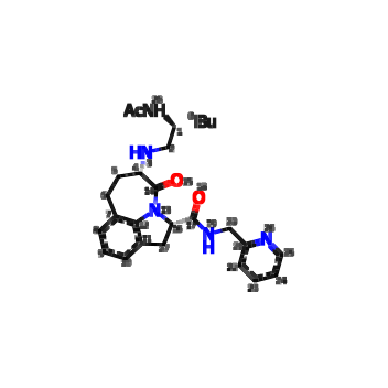 CC[C@H](C)[C@@H](CN[C@H]1CCc2cccc3c2N(C1=O)[C@H](C(=O)NCc1ccccn1)C3)NC(C)=O